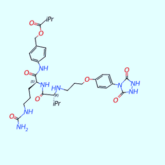 CC(C)C(=O)OCc1ccc(NC(=O)[C@H](CCCNC(N)=O)NC(=O)[C@H](NCCCOc2ccc(-n3c(=O)[nH][nH]c3=O)cc2)C(C)C)cc1